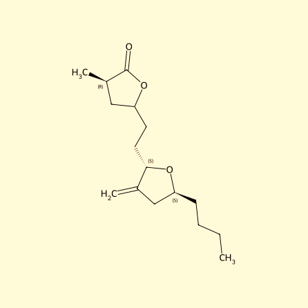 C=C1C[C@H](CCCC)O[C@H]1CCC1C[C@@H](C)C(=O)O1